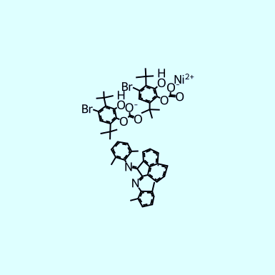 CC(C)(C)c1cc(Br)c(C(C)(C)C)c(O)c1OC(=O)[O-].CC(C)(C)c1cc(Br)c(C(C)(C)C)c(O)c1OC(=O)[O-].Cc1cccc(C)c1N=C1C(=Nc2c(C)cccc2C)c2cccc3cccc1c23.[Ni+2]